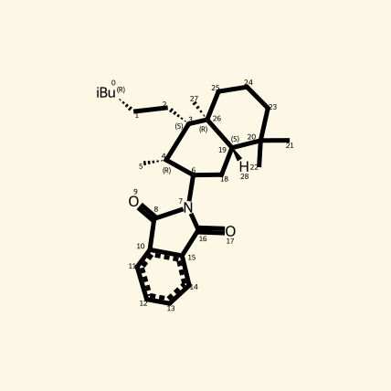 CC[C@@H](C)CC[C@H]1[C@@H](C)C(N2C(=O)c3ccccc3C2=O)C[C@H]2C(C)(C)CCC[C@]12C